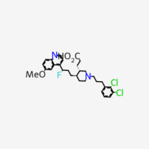 COc1ccc2nccc([C@H](F)CC[C@@H]3CCN(CCCc4cccc(Cl)c4Cl)C[C@H]3CCC(=O)O)c2c1